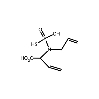 C=CCN(C(C=C)C(=O)O)P(=O)(O)S